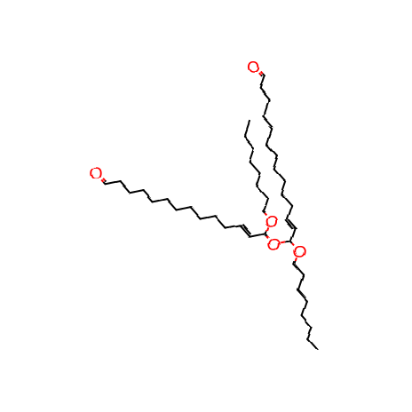 CCCCCCCCOC(C=CCCCCCCCCCCC=O)OC(C=CCCCCCCCCCCC=O)OCCCCCCCC